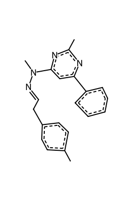 Cc1ccc(CC=NN(C)c2cc(-c3ccccc3)nc(C)n2)cc1